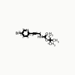 CC(C)(C)OC(=O)NCC#Cc1ccc(Br)cn1